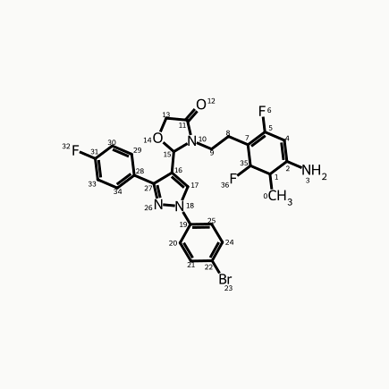 CC1C(N)=CC(F)=C(CCN2C(=O)COC2c2cn(-c3ccc(Br)cc3)nc2-c2ccc(F)cc2)C1F